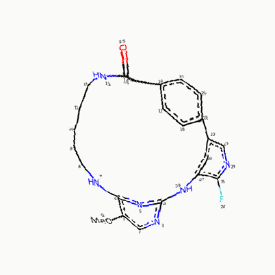 COc1cnc2nc1NCCCCCNC(=O)c1ccc(cc1)-c1cnc(F)c(c1)N2